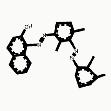 Cc1cccc(N=Nc2c(C)ccc(N=Nc3c(O)ccc4ccccc34)c2C)c1C